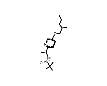 CCCC(C)COc1ccc([C@H](C)N[S@+]([O-])C(C)(C)C)nc1